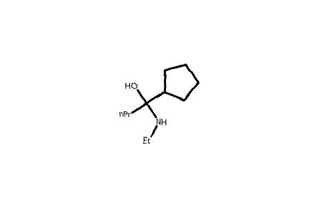 CCCC(O)(NCC)C1CCCC1